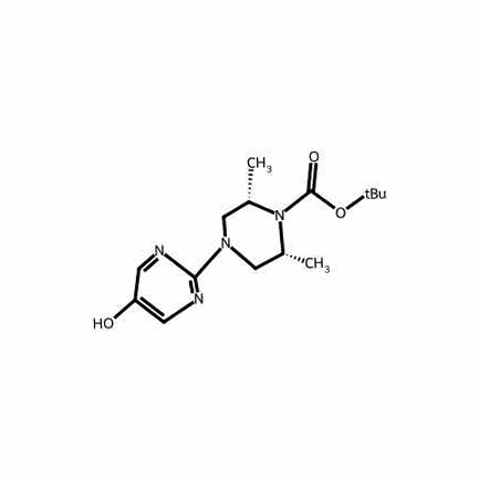 C[C@@H]1CN(c2ncc(O)cn2)C[C@H](C)N1C(=O)OC(C)(C)C